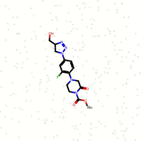 CC(C)(C)OC(=O)N1CCN(c2ccc(N3CC(CO)N=N3)cc2F)CC1=O